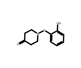 O=C1CCN(Sc2ccccc2O)CC1